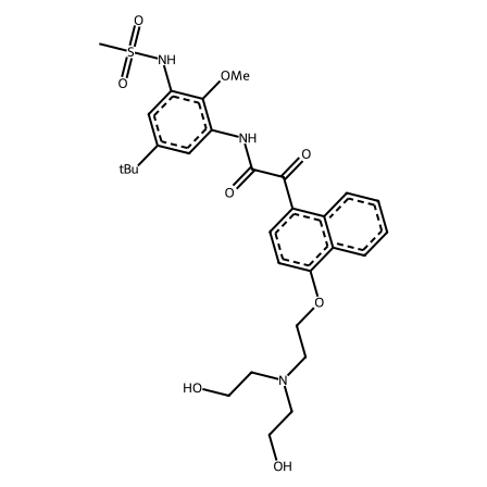 COc1c(NC(=O)C(=O)c2ccc(OCCN(CCO)CCO)c3ccccc23)cc(C(C)(C)C)cc1NS(C)(=O)=O